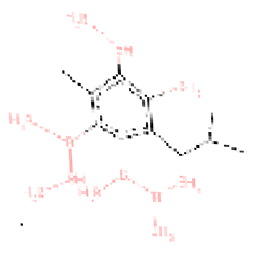 BBB(B)c1c(C)c(BB)c(B)c(CC(C)C)c1B(B)B(B)B